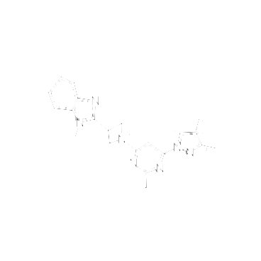 Cc1nc(N2CC(c3nc4ccccc4n3C)C2)cc(-n2cc(C)c(C)n2)n1